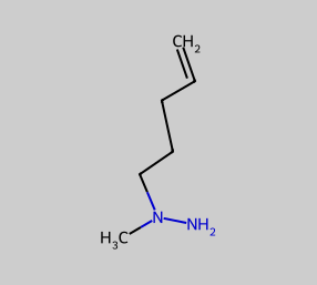 C=CCCCN(C)N